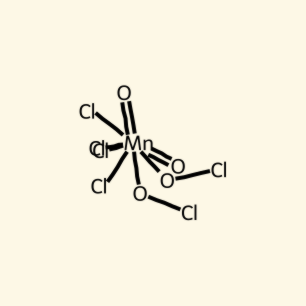 [O]=[Mn](=[O])([Cl])([Cl])([Cl])([Cl])([O]Cl)[O]Cl